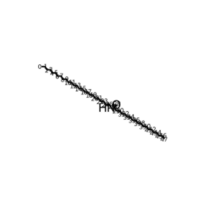 CCCCCCCCCCCCCCCCCCCCCCCCCCNC(=O)CCCCCCCCCCCCCCCCCCC